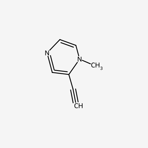 C#CC1=C=NC=CN1C